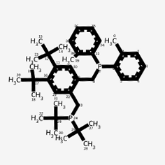 Cc1ccccc1P(Cc1cc(C(C)(C)C)c(C(C)(C)C)cc1CP(C(C)(C)C)C(C)(C)C)c1ccccc1C